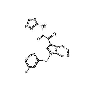 O=C(Nc1nncs1)C(=O)c1cn(Cc2cccc(F)c2)c2ccccc12